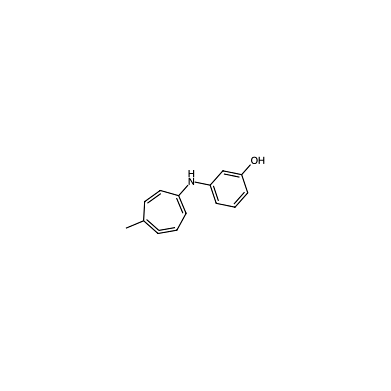 CC1=C=CC=C(Nc2cccc(O)c2)C=C1